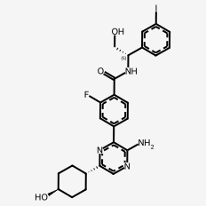 Nc1ncc([C@H]2CC[C@H](O)CC2)nc1-c1ccc(C(=O)N[C@H](CO)c2cccc(I)c2)c(F)c1